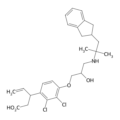 C=CC(CC(=O)O)c1ccc(OCC(O)CNC(C)(C)CC2Cc3ccccc3C2)c(Cl)c1Cl